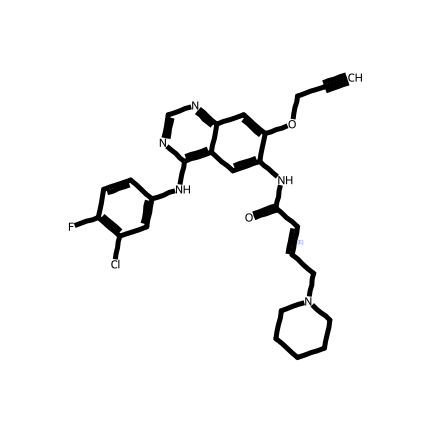 C#CCOc1cc2ncnc(Nc3ccc(F)c(Cl)c3)c2cc1NC(=O)/C=C/CN1CCCCC1